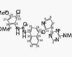 CNc1ncnc(-c2cccnc2Oc2ccc(NC(=O)Nc3cc(Cl)c(OC)cc3OC)c3ccccc23)n1